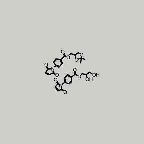 CC1(C)OCC(COC(=O)c2ccc(N3C(=O)C=CC3=O)cc2)O1.O=C(OCC(O)CO)c1ccc(N2C(=O)C=CC2=O)cc1